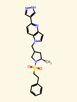 C[C@@H]1CC(Cn2ccc3nc(-c4cn[nH]c4)ccc32)CN1S(=O)(=O)CCc1ccccc1